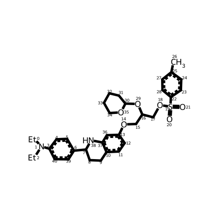 CCN(CC)c1ccc(C2CCc3ccc(OCC(COS(=O)(=O)c4ccc(C)cc4)OC4CCCCO4)cc3N2)cc1